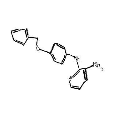 Nc1cccnc1Nc1ccc(OCc2ccccc2)cc1